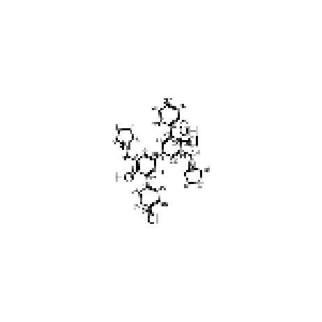 Oc1c(CN2CCCC2)cc(C2C=C(CN3CCCC3)C(O)(Cl)C(c3ccccc3)=C2)cc1-c1ccc(Cl)cc1